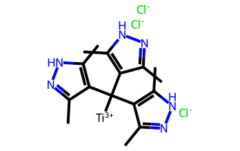 Cc1n[nH]c(C)c1[C]([Ti+3])(c1c(C)n[nH]c1C)c1c(C)n[nH]c1C.[Cl-].[Cl-].[Cl-]